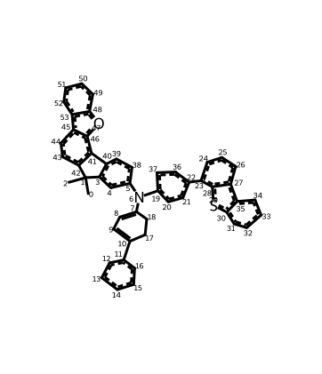 CC1(C)c2cc(N(C3=CC=C(c4ccccc4)CC3)c3ccc(-c4cccc5c4sc4ccccc45)cc3)ccc2-c2c1ccc1c2oc2ccccc21